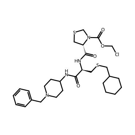 O=C(NC1CCN(Cc2ccccc2)CC1)[C@H](CSCC1CCCCC1)NC(=O)[C@@H]1CSCN1C(=O)OCCl